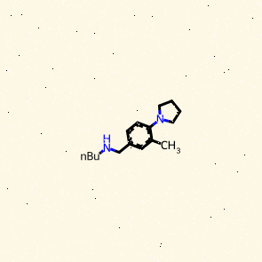 CCCCNCc1ccc(N2CCCC2)c(C)c1